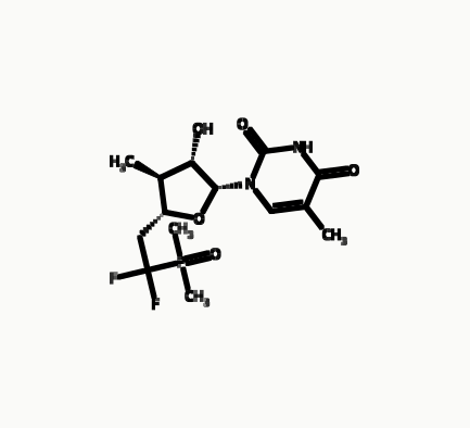 Cc1cn([C@@H]2O[C@H](CC(F)(F)P(C)(C)=O)[C@@H](C)[C@@H]2O)c(=O)[nH]c1=O